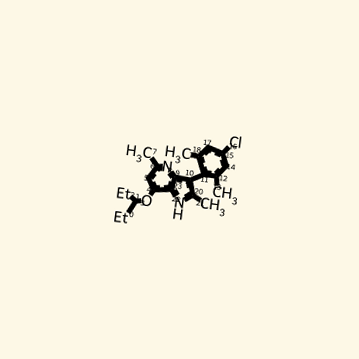 CCC(CC)Oc1cc(C)nc2c(-c3c(C)cc(Cl)cc3C)c(C)[nH]c12